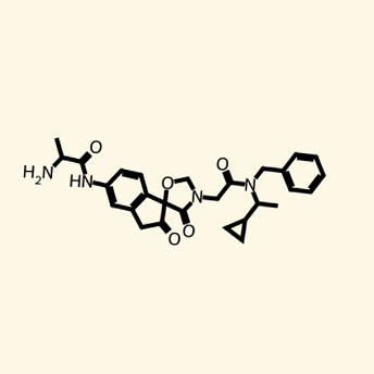 CC(N)C(=O)Nc1ccc2c(c1)CC(=O)C21OCN(CC(=O)N(Cc2ccccc2)C(C)C2CC2)C1=O